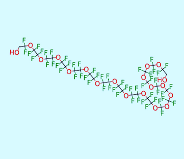 OCC(F)(F)OC(F)(F)OC(F)(F)OC(F)(F)OC(F)(F)OC(F)(F)OC(F)(F)OC(F)(F)OC(F)(F)C(F)(F)OC(F)(F)C(F)(F)OC(F)(F)C(F)(F)OC(F)(F)C(F)(F)OC(F)(F)C(F)(F)OC(F)(F)C(F)(F)OC(F)(F)C(F)(F)OC(F)(F)C(F)(F)OC(F)(F)C(F)(F)OC(F)(F)CO